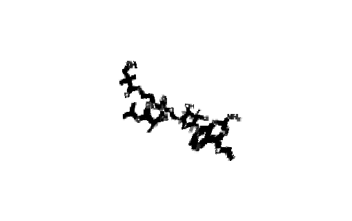 CCOc1nc(N)nc2c1ncn2[C@@H]1O[C@H](COP(=O)(N[C@@H](C)C(=O)OC(C)C)OCCSC(=O)C(C)(C)CO)[C@@H](O)[C@@]1(C)Cl